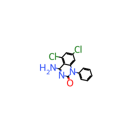 Nc1nc(=O)n(-c2ccccc2)c2cc(Cl)cc(Cl)c12